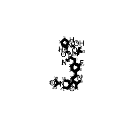 CC(C)(C)OC(O)N1[C@@H]2CC[C@@H](C2)[C@H]1C(=O)N[C@H](C#N)Cc1ccc(-c2cc3c(cn2)COC32CCN(C3COC3)CC2)cc1F